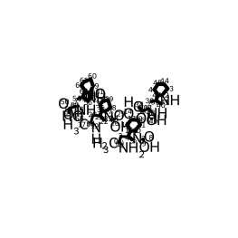 C[C@@H](N)Cc1cn(C(=O)O)c2ccc(O)cc12.C[C@@H](N)Cc1cn(C(=O)O)c2ccc(O)cc12.O=C(O)[C@H](Cc1c[nH]c2ccccc12)NO.O=C(O)[C@H](Cc1c[nH]c2ccccc12)NO